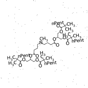 CCCCCC(C)(C)C(=O)OCC(COC(=O)C(C)(C)CCCCC)OC(=O)CCCN(C)CCCC(=O)OC(COC(=O)C(C)(C)CCCCC)COC(=O)C(C)(C)CCCCC